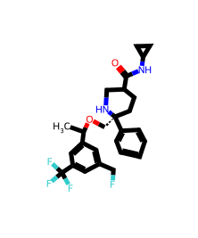 CC(OC[C@@]1(c2ccccc2)CCC(C(=O)NC2CC2)CN1)c1cc(CF)cc(C(F)(F)F)c1